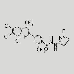 O=C(NNc1cccc(F)n1)c1ccc(C(F)=CC(c2cc(Cl)c(Cl)c(Cl)c2)C(F)(F)F)cc1C(F)(F)F